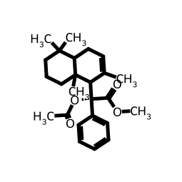 COC(=O)[C@@](OC(C)=O)(c1ccccc1)C1C(C)=CCC2C(C)(C)CCCC21C